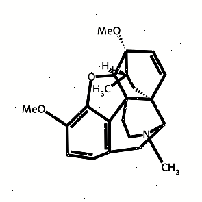 COc1ccc2c3c1O[C@@H]1C34CCN(C)C(C2)[C@]42C=C[C@@]1(OC)[C@@H](C)C2